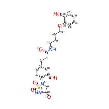 O=C(CCc1ccc(N2CC(=O)NS2(=O)=O)c(O)c1)NCCCCOc1ccccc1O